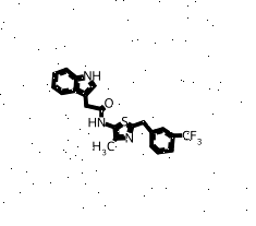 Cc1nc(Cc2cccc(C(F)(F)F)c2)sc1NC(=O)Cc1c[nH]c2ccccc12